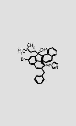 CN(C)CCC(O)(c1cccc2ccccc12)c1cc(Br)cc2cc(Cc3ccccc3)c(-n3ccnc3)cc12